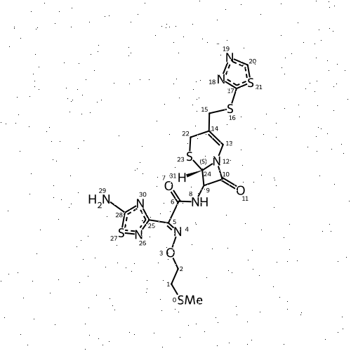 CSCCON=C(C(=O)NC1C(=O)N2C=C(CSc3nncs3)CS[C@@H]12)c1nsc(N)n1